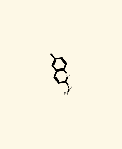 CCOC1C=Cc2cc(C)ccc2O1